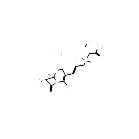 C[N+](C)(C/C=C/C1=C(C(=O)[O-])N2C(=O)[C@@H](N)[C@@H]2SC1)[C@H](CO)C(N)=O.Cl